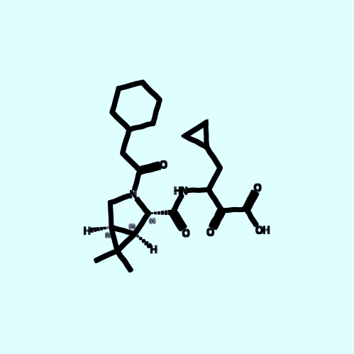 CC1(C)[C@@H]2[C@@H](C(=O)NC(CC3CC3)C(=O)C(=O)O)N(C(=O)CC3CCCCC3)C[C@@H]21